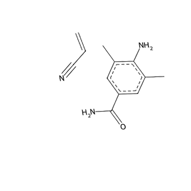 C=CC#N.Cc1cc(C(N)=O)cc(C)c1N